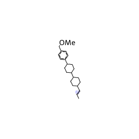 C/C=C/C1CCC(C2CCC(c3ccc(COC)cc3)CC2)CC1